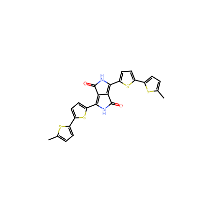 Cc1ccc(-c2ccc(C3=C4C(=O)NC(c5ccc(-c6ccc(C)s6)s5)=C4C(=O)N3)s2)s1